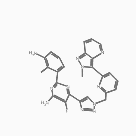 Cc1c(N)cccc1-c1nc(N)c(F)c(-c2cn(Cc3cccc(-c4c5ncccc5nn4C)n3)nn2)n1